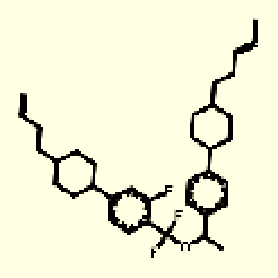 C=CCCC1CCC(c2ccc(C(F)(F)OC(C)c3ccc(C4CCC(CC/C=C/C)CC4)cc3)c(F)c2)CC1